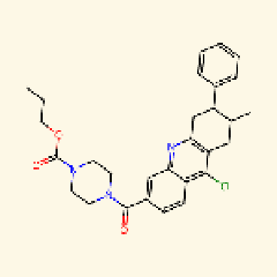 CCCOC(=O)N1CCN(C(=O)c2ccc3c(Cl)c4c(nc3c2)CC(c2ccccc2)C(C)C4)CC1